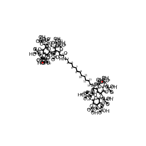 O=C(NCCCCCCCCCCCCNC(=O)[C@H](OS(=O)(=O)O)[C@@H](OS(=O)(=O)O)[C@H](O[C@@H]1O[C@H](COS(=O)(=O)O)[C@H](OS(=O)(=O)O)[C@H](OS(=O)(=O)O)[C@H]1OS(=O)(=O)O)[C@@H](COS(=O)(=O)O)OS(=O)(=O)O)[C@H](OS(=O)(=O)O)[C@@H](OS(=O)(=O)O)[C@H](O[C@@H]1O[C@H](COS(=O)(=O)O)[C@H](OS(=O)(=O)O)[C@H](OS(=O)(=O)O)[C@H]1OS(=O)(=O)O)[C@@H](COS(=O)(=O)O)OS(=O)(=O)O